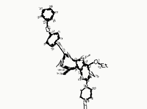 CCOc1nc(N2CCNCC2)nc2c1sc1nc(-c3ccc(Oc4ccccc4)cc3)nc(C)c12